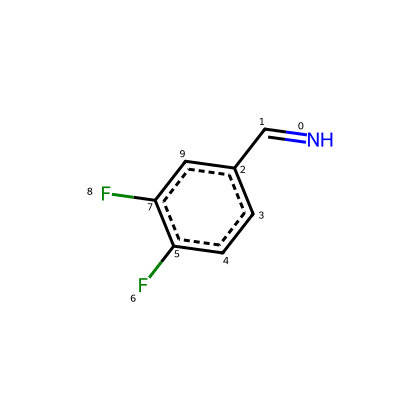 N=Cc1ccc(F)c(F)c1